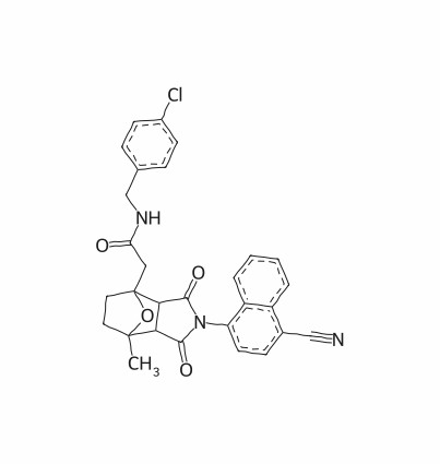 CC12CCC(CC(=O)NCc3ccc(Cl)cc3)(O1)C1C(=O)N(c3ccc(C#N)c4ccccc34)C(=O)C12